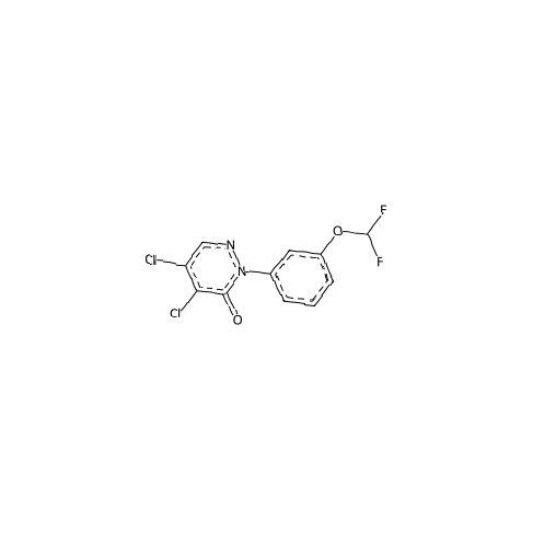 O=c1c(Cl)c(Cl)cnn1-c1cccc(OC(F)F)c1